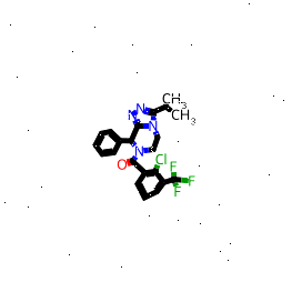 CC(C)c1nnc2n1CCN(C(=O)c1cccc(C(F)(F)F)c1Cl)C2c1ccccc1